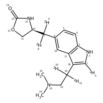 [2H]c1[nH]c2ccc(C([2H])([2H])[C@H]3COC(=O)N3)cc2c1C([2H])([2H])CN(C)C